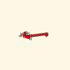 CCCN(CCCNC(=O)CC(C)(C)C)C(=O)C1=Cc2ccc(-c3cccc(S(=O)(=O)N4CC(CNC(=O)CCOCCOCCOCCOCCOCCOCCOCCOCCOCCOCCC(=O)Oc5c(F)c(F)cc(F)c5F)C4)c3)cc2N=C(N)C1